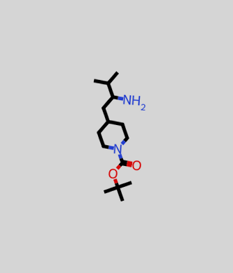 CC(C)C(N)CC1CCN(C(=O)OC(C)(C)C)CC1